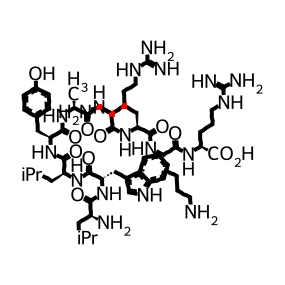 CC(C)C[C@H](NC(=O)[C@H](Cc1c[nH]c2ccccc12)NC(=O)[C@@H](N)CC(C)C)C(=O)N[C@@H](Cc1ccc(O)cc1)C(=O)N[C@@H](C)C(=O)N[C@@H](CCCNC(=N)N)C(=O)N[C@@H](CCCCN)C(=O)N[C@@H](CCCCN)C(=O)N[C@@H](CCCNC(=N)N)C(=O)O